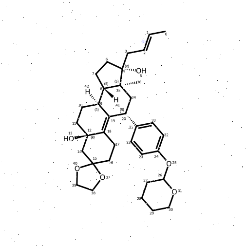 C/C=C/C[C@]1(O)CC[C@H]2[C@@H]3CC[C@@]4(O)CC5(CCC4=C3[C@@H](c3ccc(OC4CCCCO4)cc3)C[C@@]21C)OCCO5